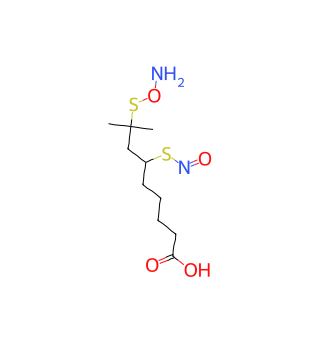 CC(C)(CC(CCCCC(=O)O)SN=O)SON